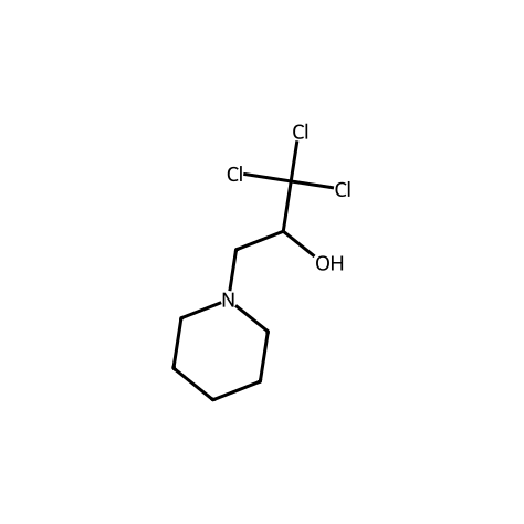 OC(CN1CCCCC1)C(Cl)(Cl)Cl